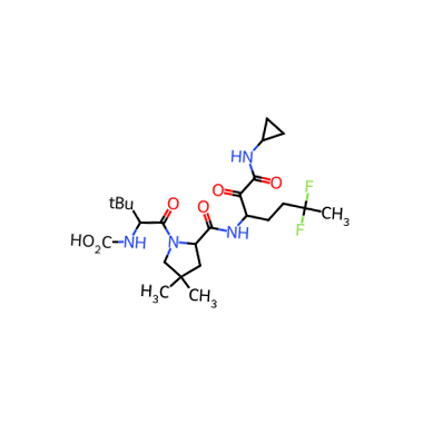 CC(F)(F)CCC(NC(=O)C1CC(C)(C)CN1C(=O)C(NC(=O)O)C(C)(C)C)C(=O)C(=O)NC1CC1